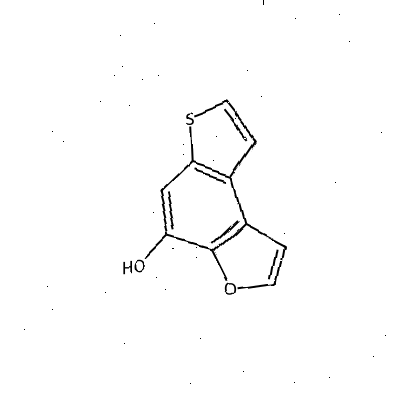 Oc1cc2sccc2c2ccoc12